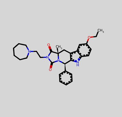 CCOc1ccc2[nH]c3c(c2c1)C[C@@]1(C)C(=O)N(CCN2CCCCCC2)C(=O)N1[C@@H]3c1ccccc1